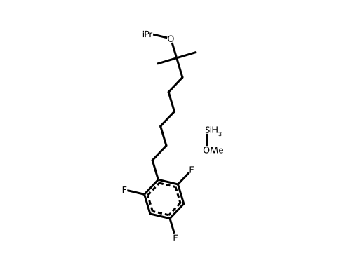 CC(C)OC(C)(C)CCCCCCc1c(F)cc(F)cc1F.CO[SiH3]